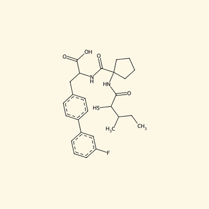 CCC(C)C(S)C(=O)NC1(C(=O)NC(Cc2ccc(-c3cccc(F)c3)cc2)C(=O)O)CCCC1